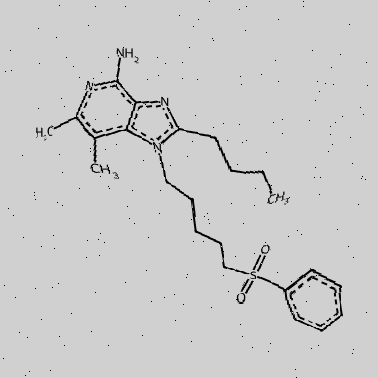 CCCCc1nc2c(N)nc(C)c(C)c2n1CCCCCS(=O)(=O)c1ccccc1